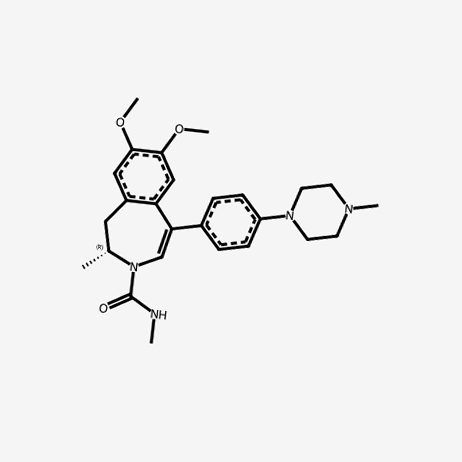 CNC(=O)N1C=C(c2ccc(N3CCN(C)CC3)cc2)c2cc(OC)c(OC)cc2C[C@H]1C